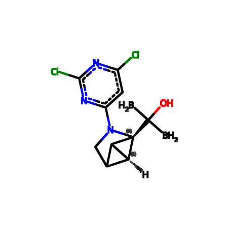 BC(B)(O)[C@@]12C3C(CN1c1cc(Cl)nc(Cl)n1)[C@@H]32